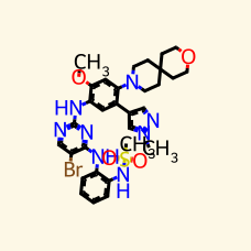 COc1cc(N2CCC3(CCOCC3)CC2)c(-c2cnn(C)c2)cc1Nc1ncc(Br)c(Nc2ccccc2NS(C)(=O)=O)n1